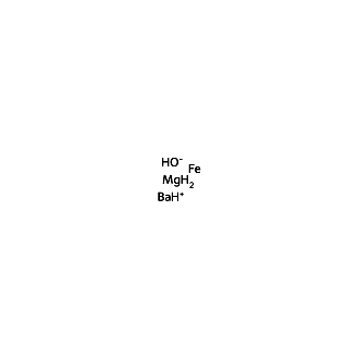 [BaH+].[Fe].[MgH2].[OH-]